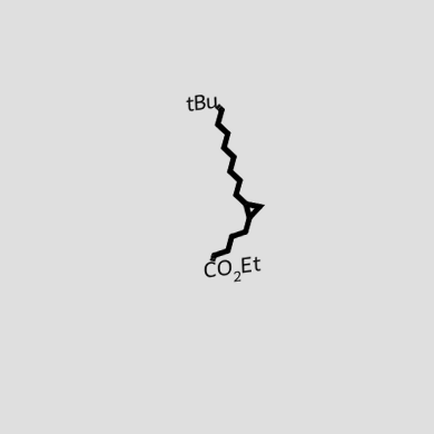 CCOC(=O)CCCCC1CC1CCCCCCCCC(C)(C)C